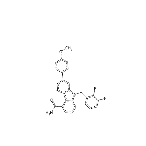 COc1ccc(-c2c[c]c3c4c(C(N)=O)cccc4n(Cc4cccc(F)c4F)c3c2)cc1